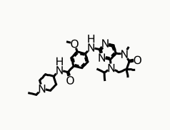 CCN1CCC(NC(=O)c2ccc(Nc3ncc4c(n3)N(C(C)C)CC(C)(C)C(=O)N4C)c(OC)c2)CC1